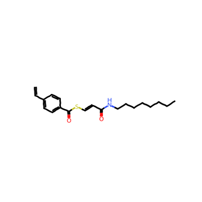 C=Cc1ccc(C(=O)SC=CC(=O)NCCCCCCCC)cc1